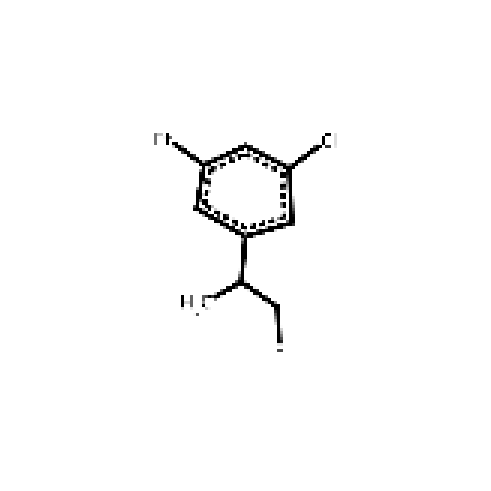 CCc1cc(Cl)cc([C](C)CF)c1